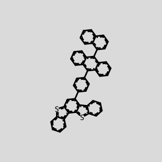 c1ccc2c(-c3c4ccccc4c(-c4ccc(-c5cc6sc7ccccc7c6c6sc7ccccc7c56)cc4)c4ccccc34)cccc2c1